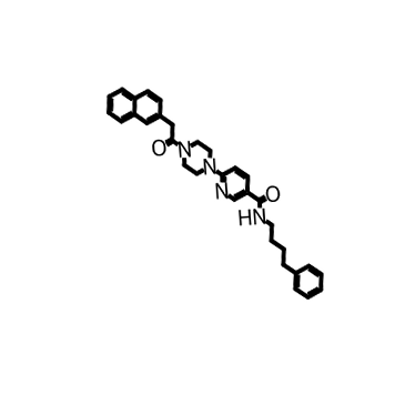 O=C(NCCCCc1ccccc1)c1ccc(N2CCN(C(=O)Cc3ccc4ccccc4c3)CC2)nc1